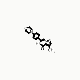 Cc1cnn2cc(-c3ccc(N4CCOCC4)cc3)[nH]c(=O)c12